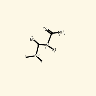 CCC(N(C)C)N(CC)C(N)=S